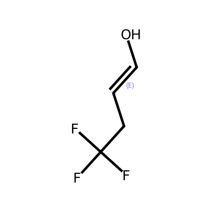 O/C=C/CC(F)(F)F